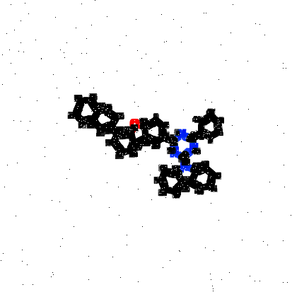 c1ccc(-c2nc(-c3ccc4oc5c(-c6ccc7ccccc7c6)cccc5c4c3)nc(-n3c4ccccc4c4ccccc43)n2)cc1